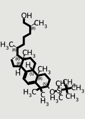 C[C@@H](CO)CCC[C@@H](C)[C@H]1CC[C@H]2C3=CC=C4C(C)(C)[C@@H](O[Si](C)(C)C(C)(C)C)CC[C@]4(C)[C@H]3CC[C@]12C